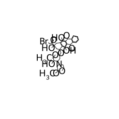 COC1CN(C2CC(OC3CC(O)(C(=O)CBr)Cc4c(O)c5c(c(O)c43)C(=O)c3ccccc3C5=O)OC(C)C2O)CCO1